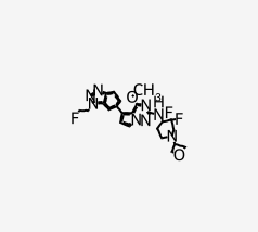 COc1nc(N[C@@H]2CCN(C3COC3)CC2(F)F)nn2ccc(-c3ccc4nnn(CCF)c4c3)c12